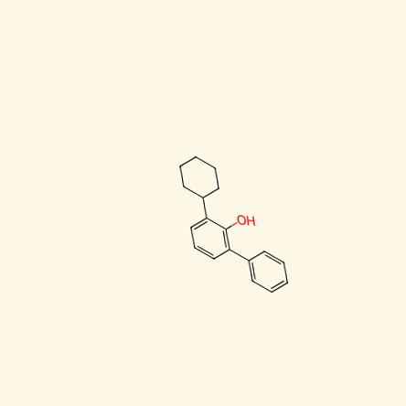 Oc1c(-c2ccccc2)cccc1C1CCCCC1